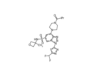 CC(C)C(=O)N1CCN(c2cc(S(=O)(=O)NC3(C)COC3)cc3c2nnn3-c2nnc(C(F)F)s2)CC1